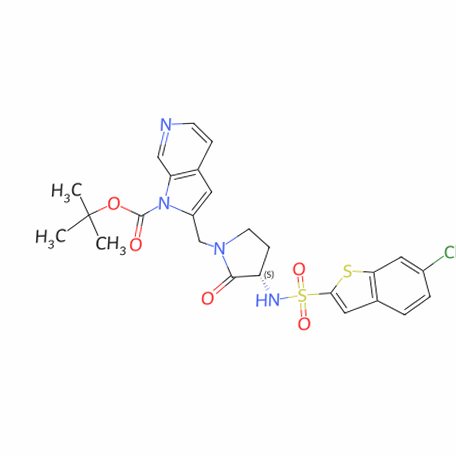 CC(C)(C)OC(=O)n1c(CN2CC[C@H](NS(=O)(=O)c3cc4ccc(Cl)cc4s3)C2=O)cc2ccncc21